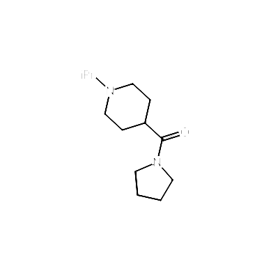 CC(C)N1CCC(C(=O)N2CCCC2)CC1